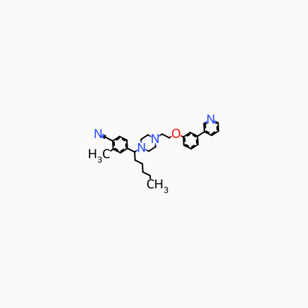 CCCCCC(c1ccc(C#N)c(C)c1)N1CCN(CCOc2cccc(-c3cccnc3)c2)CC1